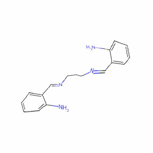 Nc1ccccc1C=NCCN=Cc1ccccc1N